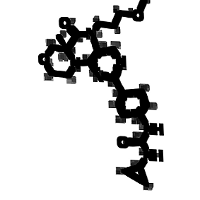 COCCCN1C(=O)[C@@]2(C)COCCN2c2nc(-c3ccc(NC(=O)NC4CC4)cc3)ncc21